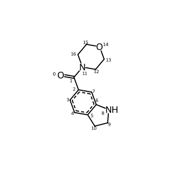 O=C(c1ccc2c(c1)NCC2)N1CCOCC1